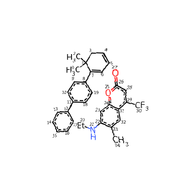 CC1(C)CC=CC=C1c1ccc(-c2ccccc2)cc1.CCNc1cc2oc(=O)cc(C(F)(F)F)c2cc1C